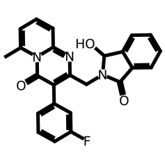 Cc1cccc2nc(CN3C(=O)c4ccccc4C3O)c(-c3cccc(F)c3)c(=O)n12